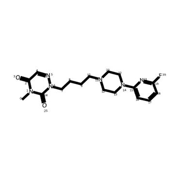 Cn1c(=O)cnn(CCCCN2CCN(c3cccc(F)n3)CC2)c1=O